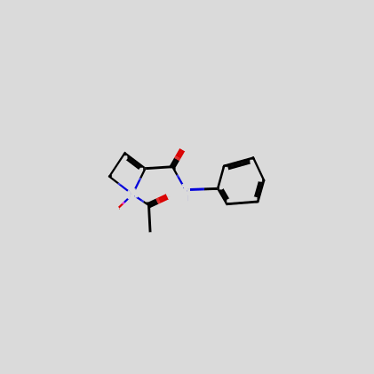 CC(=O)[N+]1([O-])CC=C1C(=O)Nc1ccccc1